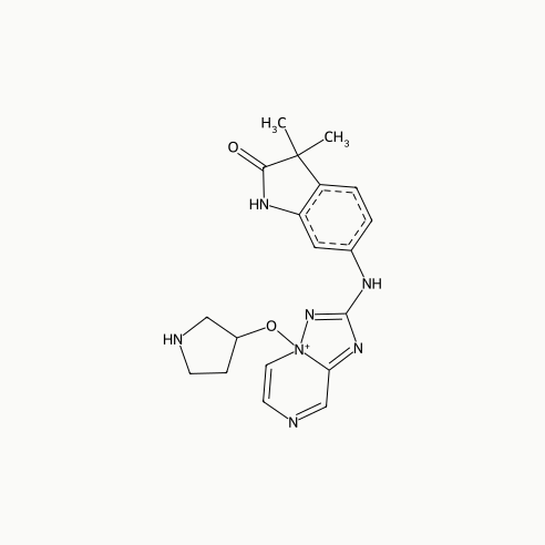 CC1(C)C(=O)Nc2cc(NC3=N[N+]4(OC5CCNC5)C=CN=CC4=N3)ccc21